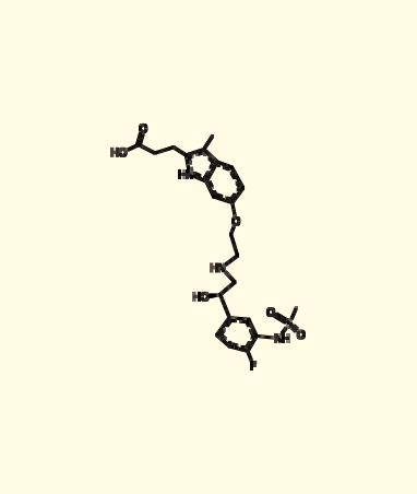 Cc1c(CCC(=O)O)[nH]c2cc(OCCNC[C@H](O)c3ccc(F)c(NS(C)(=O)=O)c3)ccc12